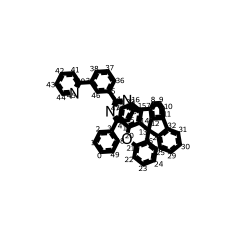 c1ccc(-c2cc(-c3cccc4c3C3(c5ccccc5Oc5ccccc53)c3ccccc3-4)nc(-c3cccc(-c4ccccn4)c3)n2)cc1